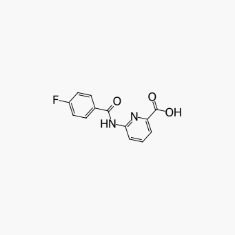 O=C(Nc1cccc(C(=O)O)n1)c1ccc(F)cc1